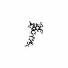 CCOC(=O)N1CCC(N2CCC3(CC2)C[C@H](NC(C)=O)c2cc(OC)c(OC)cc23)CC1